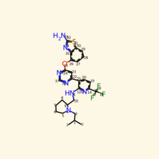 CC(C)CN1CCCCC1CNc1nc(C(F)(F)F)ccc1-c1cc(Oc2cccc3sc(N)nc23)ncn1